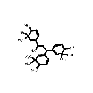 CC(CC(C1=CC(C)(C(C)(C)C)C(O)C=C1)C1=CC(C)(C(C)(C)C)C(O)C=C1)C1=CC(C)(C(C)(C)C)C(O)C=C1